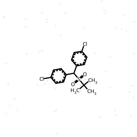 CC(C)(C)S(=O)(=O)C(c1ccc(Cl)cc1)c1ccc(Cl)cc1